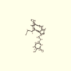 CCCc1cc(=O)[nH]c2nnc(SCc3ccc(C)c(Cl)c3)n12